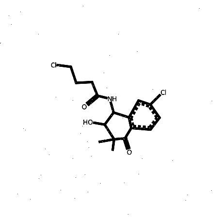 CC1(C)C(=O)c2ccc(Cl)cc2C(NC(=O)CCCCl)C1O